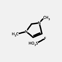 CN1C=CN(C)C1.O=S(=O)(O)F